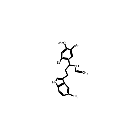 C=CNC(CCc1c[nH]c2ccc(C)cc12)c1cc(CCC)c(OC)cc1CC